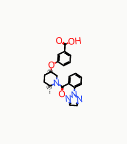 C[C@@H]1CC[C@@H](Oc2cccc(C(=O)O)c2)CN1C(=O)c1ccccc1-n1nccn1